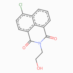 O=C1c2cccc3c(Cl)ccc(c23)C(=O)N1CCO